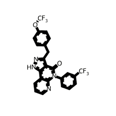 O=c1c2c(Cc3ccc(OC(F)(F)F)cc3)n[nH]c2c2cccnc2n1-c1cccc(C(F)(F)F)c1